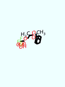 C=C(COCC(F)(F)S(=O)(=O)O)C(=O)OC1(CC)C2CC3CC(C2)CC1C3